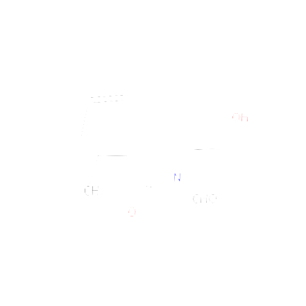 Cc1ccccc1C(=O)N(C=O)CCO